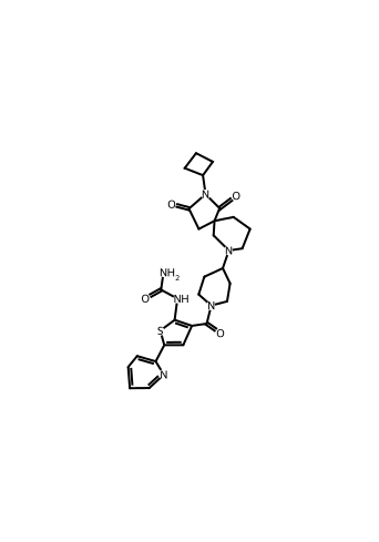 NC(=O)Nc1sc(-c2ccccn2)cc1C(=O)N1CCC(N2CCCC3(CC(=O)N(C4CCC4)C3=O)C2)CC1